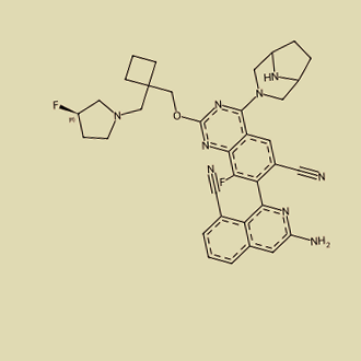 N#Cc1cc2c(N3CC4CCC(C3)N4)nc(OCC3(CN4CC[C@@H](F)C4)CCC3)nc2c(F)c1-c1nc(N)cc2cccc(C#N)c12